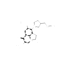 CC(C)NCC1CCN(c2c(F)cc3c(=O)c(C(=O)O)cn4c3c2C[C@@H]4C)C1.Cl